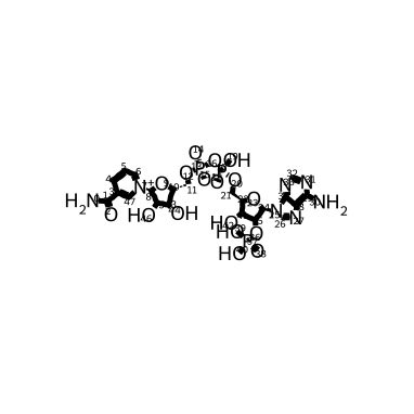 NC(=O)c1ccc[n+]([C@@H]2O[C@H](COP(=O)([O-])OP(=O)(O)OC[C@H]3O[C@@H](n4cnc5c(N)ncnc54)C(OP(=O)(O)O)C3O)C(O)C2O)c1